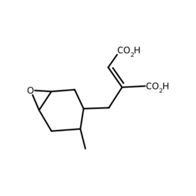 CC1CC2OC2CC1CC(=CC(=O)O)C(=O)O